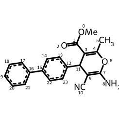 COC(=O)C1=C(C)OC(N)=C(C#N)C1c1ccc(-c2ccccc2)cc1